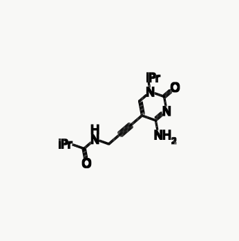 CC(C)C(=O)NCC#Cc1cn(C(C)C)c(=O)nc1N